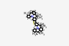 CC1(C)c2ccccc2N2c3cc4sc5cc6c(cc5c4cc3C(C)(C)c3cccc1c32)C(C)(C)c1cccc2c1N6c1ccccc1C2(C)C